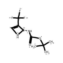 CC(C)(C)OC(=O)N[C@@H]1NC=C1C(F)(F)F